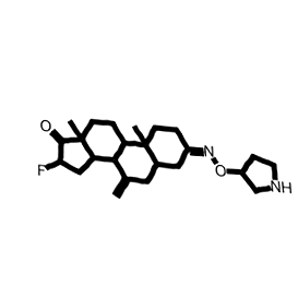 C=C1CC2CC(=NOC3CCNC3)CCC2(C)C2CCC3(C)C(=O)C(F)CC3C12